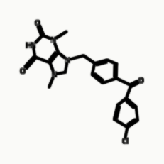 CN1CN(Cc2ccc(C(=O)c3ccc(Cl)cc3)cc2)c2c1c(=O)[nH]c(=O)n2C